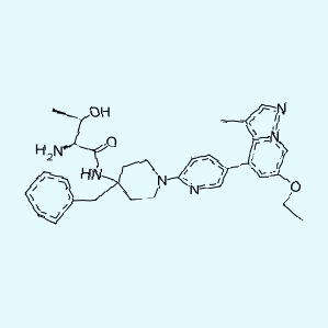 CCOc1cc(-c2ccc(N3CCC(Cc4ccccc4)(NC(=O)[C@@H](N)[C@@H](C)O)CC3)nc2)c2c(C)cnn2c1